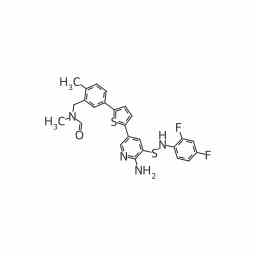 Cc1ccc(-c2ccc(-c3cnc(N)c(SNc4ccc(F)cc4F)c3)s2)cc1CN(C)C=O